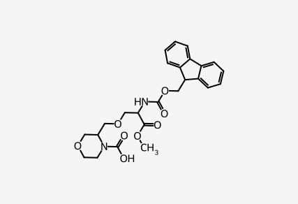 COC(=O)C(COCC1COCCN1C(=O)O)NC(=O)OCC1c2ccccc2-c2ccccc21